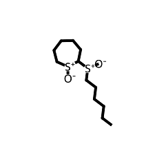 CCCCCC[S+]([O-])C1CCCCC[S+]1[O-]